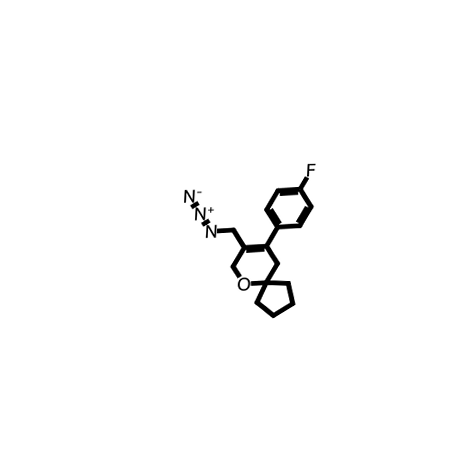 [N-]=[N+]=NCC1=C(c2ccc(F)cc2)CC2(CCCC2)OC1